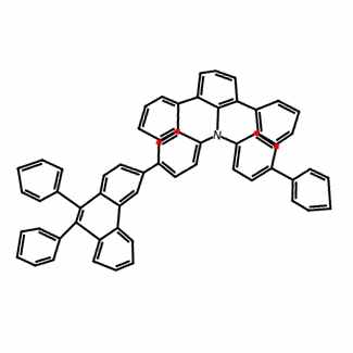 c1ccc(-c2ccc(N(c3ccc(-c4ccc5c(-c6ccccc6)c(-c6ccccc6)c6ccccc6c5c4)cc3)c3c(-c4ccccc4)cccc3-c3ccccc3)cc2)cc1